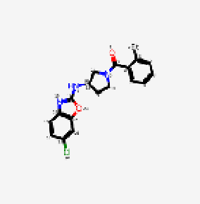 CCc1ccccc1C(=O)N1CC[C@@H](Nc2nc3ccc(Cl)cc3o2)C1